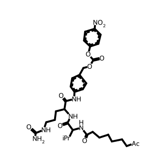 CC(=O)CCCCCCC(=O)NC(C(=O)NC(CCCNC(N)=O)C(=O)Nc1ccc(COC(=O)Oc2ccc([N+](=O)[O-])cc2)cc1)C(C)C